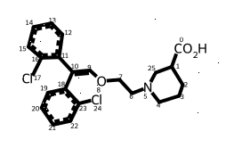 O=C(O)C1CCCN(CCOC=C(c2ccccc2Cl)c2ccccc2Cl)C1